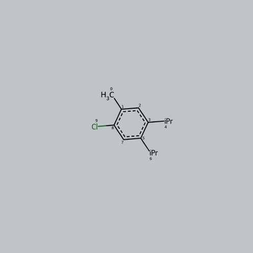 Cc1cc(C(C)C)c(C(C)C)cc1Cl